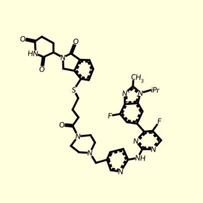 Cc1nc2c(F)cc(-c3nc(Nc4ccc(CN5CCN(C(=O)CCCSc6cccc7c6CN(C6CCC(=O)NC6=O)C7=O)CC5)cn4)ncc3F)cc2n1C(C)C